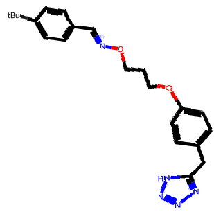 CC(C)(C)c1ccc(/C=N/OCCCOc2ccc(Cc3nnn[nH]3)cc2)cc1